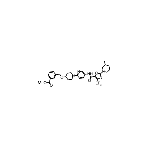 COC(=O)c1cccc(COC2CCN(c3ccc(NC(=O)c4oc(N5CCCC(C)C5)nc4C(F)(F)F)cn3)CC2)c1